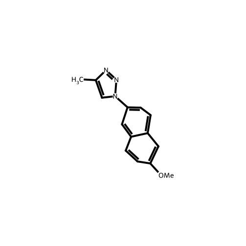 COc1ccc2cc(-n3cc(C)nn3)ccc2c1